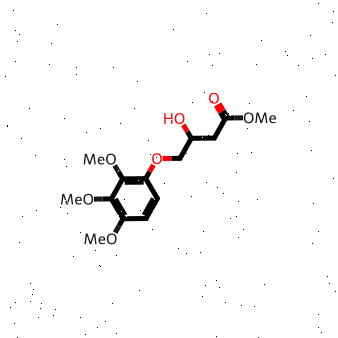 COC(=O)CC(O)COc1ccc(OC)c(OC)c1OC